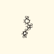 CC1(C)C(=O)N(C2CCCC(C#N)CCC2)CC1COc1ccc(C#N)cn1